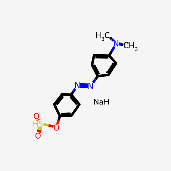 CN(C)c1ccc(/N=N/c2ccc(O[SH](=O)=O)cc2)cc1.[NaH]